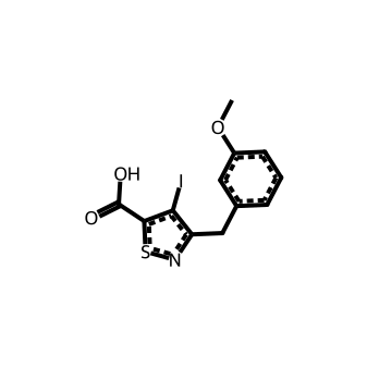 COc1cccc(Cc2nsc(C(=O)O)c2I)c1